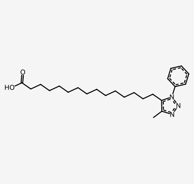 Cc1nnn(-c2ccccc2)c1CCCCCCCCCCCCCCC(=O)O